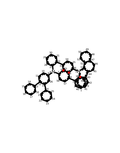 c1ccc(-c2ccc(N(c3ccc(-c4ccccc4)c(-c4ccccc4)c3)c3ccccc3-c3ccc(-n4c5ccccc5c5ccc6ccccc6c54)cc3)cc2)cc1